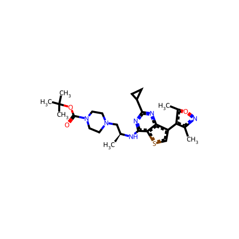 Cc1noc(C)c1-c1csc2c(N[C@@H](C)CN3CCN(C(=O)OC(C)(C)C)CC3)nc(C3CC3)nc12